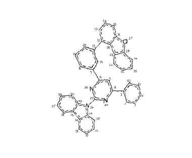 c1ccc(-c2cc(-c3cccc(-c4cccc5oc6ccccc6c45)c3)nc(-n3c4ccccc4c4ccccc43)n2)cc1